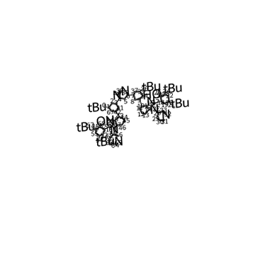 CC(C)(C)c1cc(-c2cc(-c3cc(-c4cccc5c4nc(-c4cc(C(C)(C)C)cc(C(C)(C)C)c4O)n5-c4cccnc4)cc(C(C)(C)C)c3)ncn2)cc(-c2cccc3c2nc(-c2cc(C(C)(C)C)cc(C(C)(C)C)c2O)n3-c2cccnc2)c1